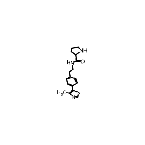 Cc1ncsc1-c1ccc(CCNC(=O)C2CCCN2)cc1